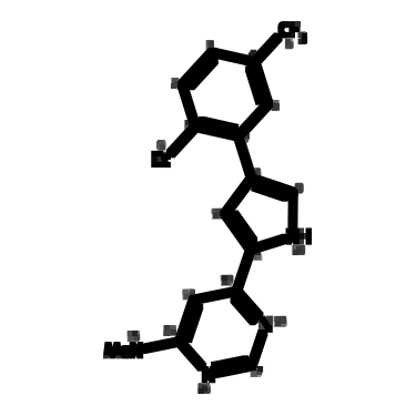 CCc1ccc(C(F)(F)F)cc1-c1c[nH]c(-c2cc(NC)ncn2)c1